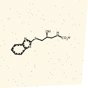 O=C(O)NC[C@H](O)CSc1nc2ccccc2s1